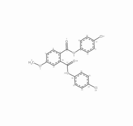 COc1ccc(C(=O)Oc2ccc(Cl)cc2)c(C(=O)Oc2ccc(Cl)cc2)c1